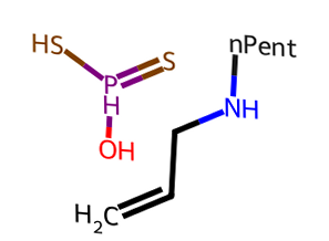 C=CCNCCCCC.O[PH](=S)S